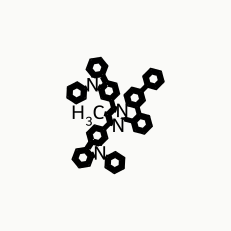 Cc1c(-c2ccc3c4ccccc4n(-c4ccccc4)c3c2)nc(-c2ccccc2-c2cccc(-c3ccccc3)c2)nc1-c1ccc2c3ccccc3n(-c3ccccc3)c2c1